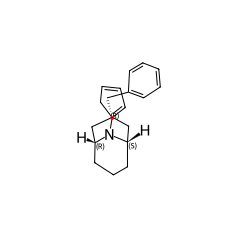 C1=CCC(N2[C@@H]3CCC[C@H]2C[C@@H](Cc2ccccc2)C3)=C1